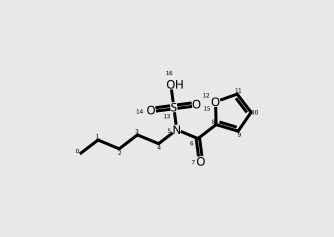 CCCCCN(C(=O)c1ccco1)S(=O)(=O)O